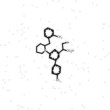 Cc1ccccc1CC1CCCCN1c1cc(-c2ccc(C(F)(F)F)cc2)cc(C(CC(C)C)C(=O)O)c1